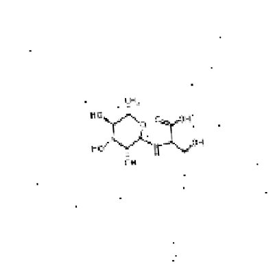 C[C@@H]1OC(NC(CO)C(=O)O)[C@H](O)[C@H](O)[C@H]1O